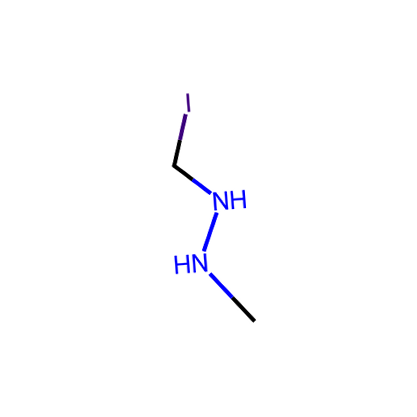 CNNCI